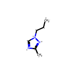 [CH2]CCn1cnc(C)n1